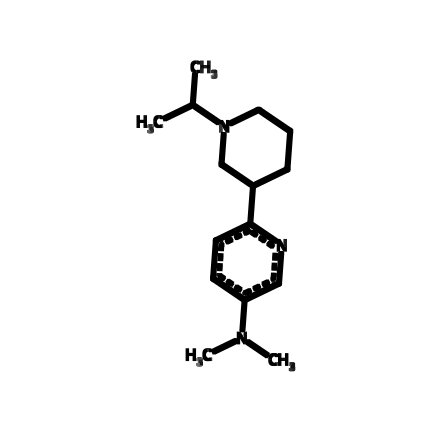 CC(C)N1CCCC(c2ccc(N(C)C)cn2)C1